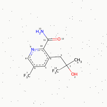 CC(O)(Cc1cc(C(F)(F)F)cnc1C(N)=O)C(F)(F)F